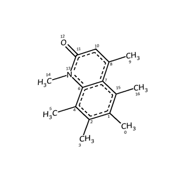 Cc1c(C)c(C)c2c(c(C)cc(=O)n2C)c1C